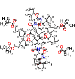 C=C(C)C(=O)OCCc1ccc(Oc2cc3c4c(cc(Oc5ccc(CCOC(=O)C(=C)C)cc5)c5c6c(Oc7ccc(CCOC(=O)C(=C)C)cc7)cc7c8c(cc(Oc9ccc(CCOC(=O)C(=C)C)cc9)c(c2c45)c86)C(=O)N(C(Cc2ccccc2)C(=O)N(CC)Cc2ccccc2)C7=O)C(=O)N(C(Cc2ccccc2)C(=O)N(CC)Cc2ccccc2)C3=O)cc1